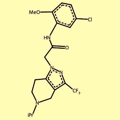 COc1ccc(Cl)cc1NC(=O)Cn1nc(C(F)(F)F)c2c1CCN(C(C)C)C2